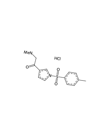 CNCC(=O)c1ccn(S(=O)(=O)c2ccc(C)cc2)c1.Cl